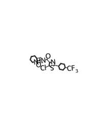 O=C(NCc1cccc[n+]1[O-])c1nc(-c2ccc(C(F)(F)F)cc2)sc1Cl